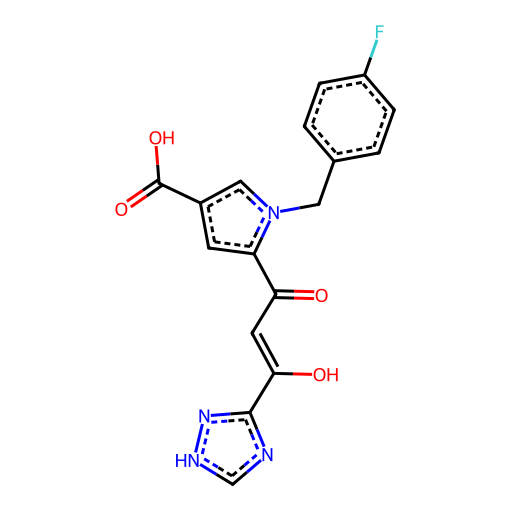 O=C(O)c1cc(C(=O)C=C(O)c2nc[nH]n2)n(Cc2ccc(F)cc2)c1